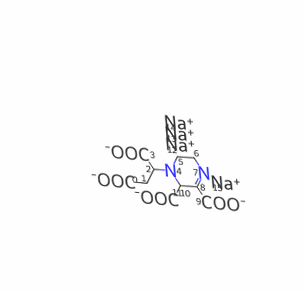 O=C([O-])CC(C(=O)[O-])N1CCN=C(C(=O)[O-])C1C(=O)[O-].[Na+].[Na+].[Na+].[Na+]